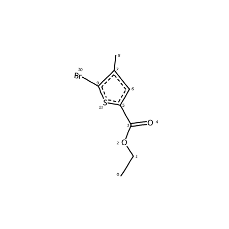 CCOC(=O)c1cc(C)c(Br)s1